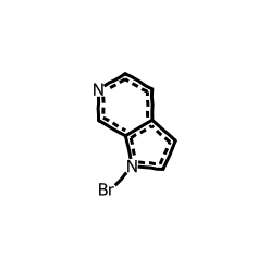 Brn1ccc2ccncc21